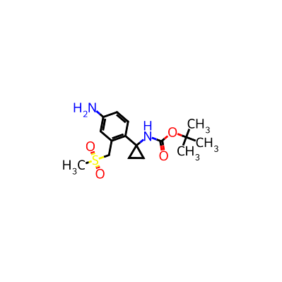 CC(C)(C)OC(=O)NC1(c2ccc(N)cc2CS(C)(=O)=O)CC1